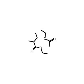 CCOC(=O)C(C)CC.CCOC(C)=O